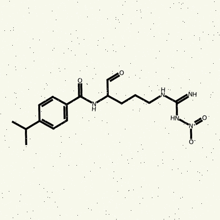 CC(C)c1ccc(C(=O)NC(C=O)CCCNC(=N)N[N+](=O)[O-])cc1